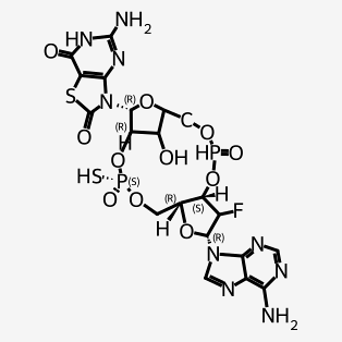 Nc1nc2c(sc(=O)n2[C@@H]2OC3CO[PH](=O)O[C@@H]4C(F)[C@H](n5cnc6c(N)ncnc65)O[C@@H]4CO[P@](=O)(S)O[C@@H]2C3O)c(=O)[nH]1